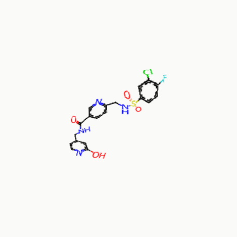 O=C(NCc1ccnc(O)c1)c1ccc(CNS(=O)(=O)c2ccc(F)c(Cl)c2)nc1